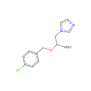 CCCCCCCCC(Cn1ccnc1)OCc1ccc(Cl)cc1